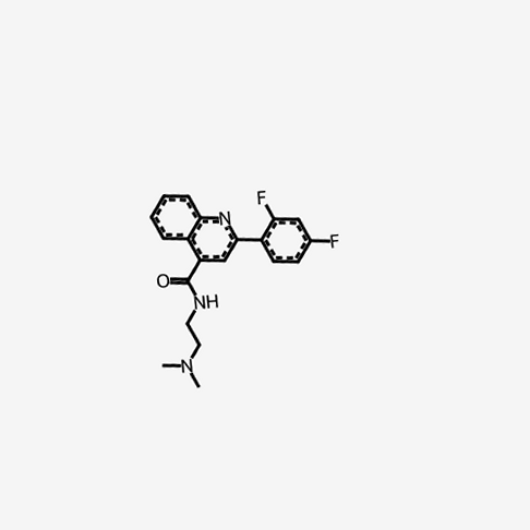 CN(C)CCNC(=O)c1cc(-c2ccc(F)cc2F)nc2ccccc12